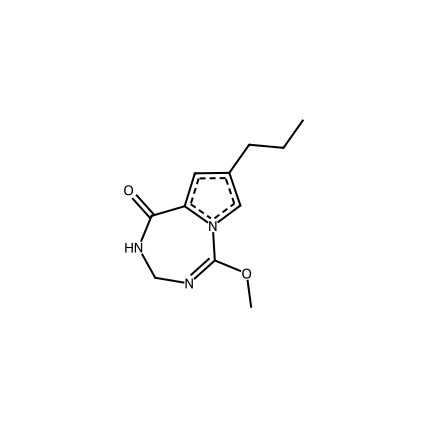 CCCc1cc2n(c1)C(OC)=NCNC2=O